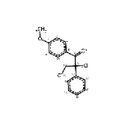 COc1ccc(C(=O)C(Cl)(CCl)c2ccccc2)cc1